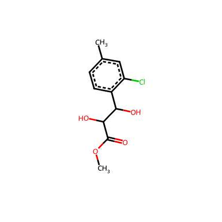 COC(=O)C(O)C(O)c1ccc(C)cc1Cl